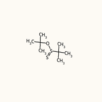 CC(C)(C)OS(=S)C(C)(C)C